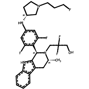 C[C@@H]1Cc2c([nH]c3ccccc23)[C@@H](c2c(F)cc(N[C@@H]3CCN(CCCF)C3)cc2F)N1CC(F)(F)CO